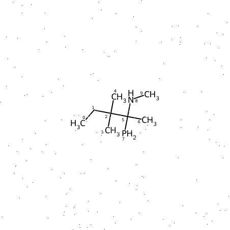 CCC(C)(C)C(C)(P)NC